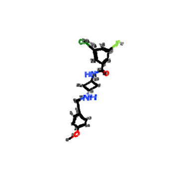 COc1ccc(CN[C@H]2C[C@H](NC(=O)c3cc(F)cc(Cl)c3)C2)cc1